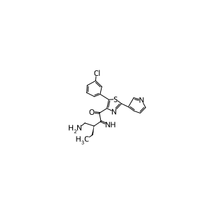 CC[C@@H](CN)C(=N)C(=O)c1nc(-c2cccnc2)sc1-c1cccc(Cl)c1